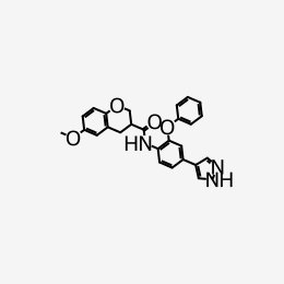 COc1ccc2c(c1)CC(C(=O)Nc1ccc(-c3cn[nH]c3)cc1Oc1ccccc1)CO2